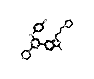 Cc1nn(CCCN2CCCC2)c2cc(-c3cc(Nc4ccc(Cl)cc4)nc(N4CCOCC4)n3)ccc12